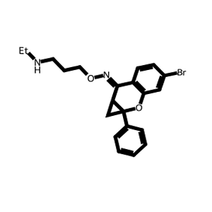 CCNCCCON=C1c2ccc(Br)cc2OC2(c3ccccc3)CC12